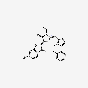 CCn1c(=O)/c(=C2\Sc3cc(Cl)ccc3N2C)s/c1=C\c1scc[n+]1CCc1ccccc1